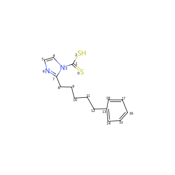 S=C(S)n1ccnc1CCCCCc1ccccc1